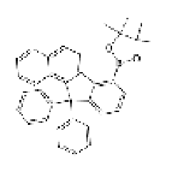 CC1(C)OB(c2cccc3c2-c2ccc4ccccc4c2C3(c2ccccc2)c2ccccc2)OC1(C)C